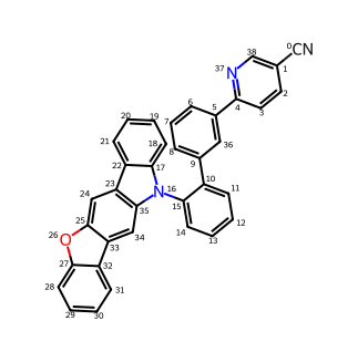 N#Cc1ccc(-c2cccc(-c3ccccc3-n3c4ccccc4c4cc5oc6ccccc6c5cc43)c2)nc1